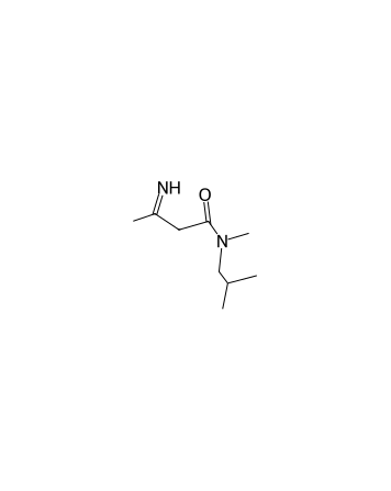 CC(=N)CC(=O)N(C)CC(C)C